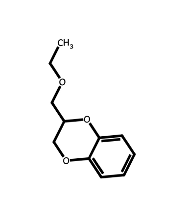 CCOCC1COc2ccccc2O1